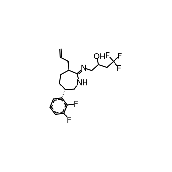 C=CC[C@@H]1CC[C@@H](c2cccc(F)c2F)CN/C1=N\CC(O)CC(F)(F)F